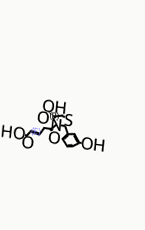 O=C(O)/C=C/CC(=O)N1C(c2cccc(O)c2)SC[C@H]1C(=O)O